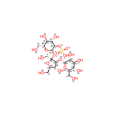 O=S(=O)(O)O[C@H]1[C@@H](O[C@]2(CO)O[C@H](CO)[C@@H](O)[C@@H]2O[C@H]2O[C@H](CO)[C@@H](O)[C@H](O)[C@H]2O)O[C@H](CO)[C@@H](O)[C@@H]1O